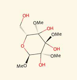 CO[C@H]1O[C@H](CO)[C@](O)(OC)[C@@](O)(OC)[C@]1(O)OC